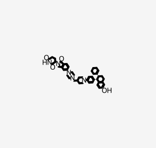 O=C1CC[C@H](N2Cc3cc(N4CCN(CC5CCN(c6ccc([C@H]7c8ccc(O)cc8CC[C@H]7C7=CCCCC7)cc6)CC5)CC4)ccc3C2=O)C(=O)N1